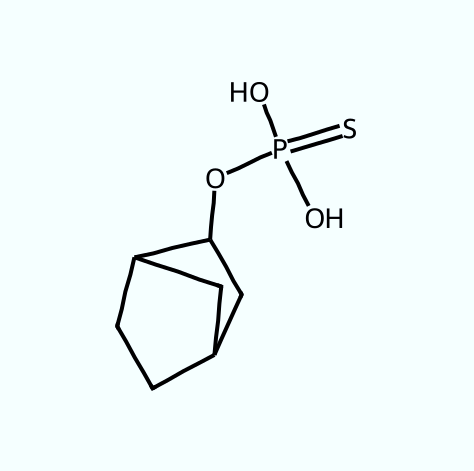 OP(O)(=S)OC1CC2CCC1C2